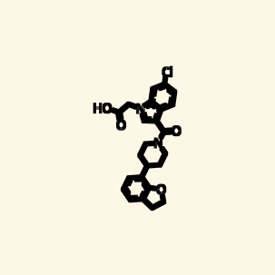 O=C(O)Cn1cc(C(=O)N2CCC(c3cccc4c3OCC4)CC2)c2ccc(Cl)cc21